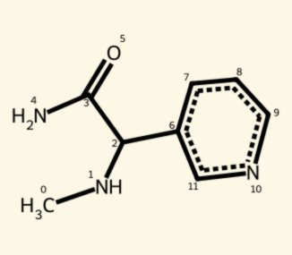 CNC(C(N)=O)c1cccnc1